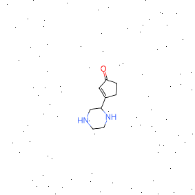 O=C1C=C(C2CNCCN2)CC1